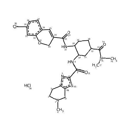 CN1CCc2nc(C(=O)NC3CC(C(=O)N(C)C)CCC3NC(=O)C3=Cc4ccc(Cl)cc4OC3)sc2C1.Cl